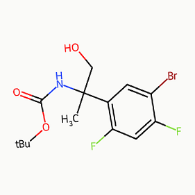 CC(C)(C)OC(=O)NC(C)(CO)c1cc(Br)c(F)cc1F